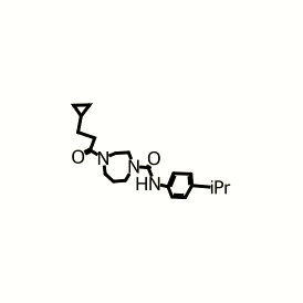 CC(C)c1ccc(NC(=O)N2CCCN(C(=O)CCC3CC3)CC2)cc1